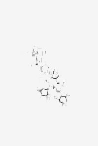 CC(C)(C)[Si](C)(C)ONC(=O)C1CCC(n2ncc(C(=O)N(CC(=O)c3c(Cl)cncc3Cl)Cc3cc(F)cc(F)c3)c2C(F)(F)F)CC1